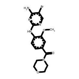 COc1cc(C(=O)N2CCOCC2)ccc1Nc1ncc(Br)c(N)n1